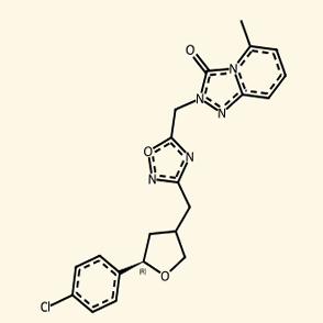 Cc1cccc2nn(Cc3nc(CC4CO[C@@H](c5ccc(Cl)cc5)C4)no3)c(=O)n12